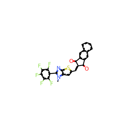 Cn1c(-c2c(F)c(F)c(F)c(F)c2F)nc2sc(C=C3C(=O)c4cc5ccccc5cc4C3=O)cc21